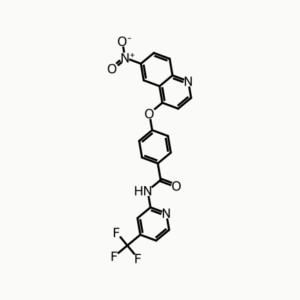 O=C(Nc1cc(C(F)(F)F)ccn1)c1ccc(Oc2ccnc3ccc([N+](=O)[O-])cc23)cc1